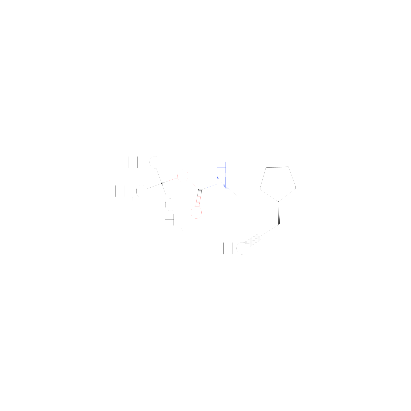 C#CC[C@@H]1CCC[C@H]1CNC(=O)OC(C)(C)C